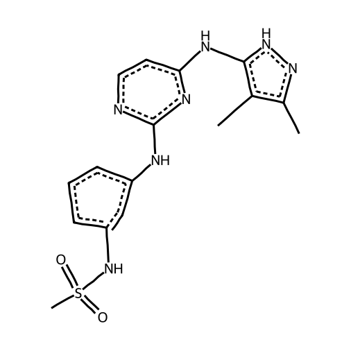 Cc1n[nH]c(Nc2ccnc(Nc3cccc(NS(C)(=O)=O)c3)n2)c1C